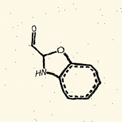 O=[C]C1Nc2ccccc2O1